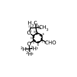 [2H]C([2H])([2H])Oc1cc(C=O)cc2c1OCC2(C)C